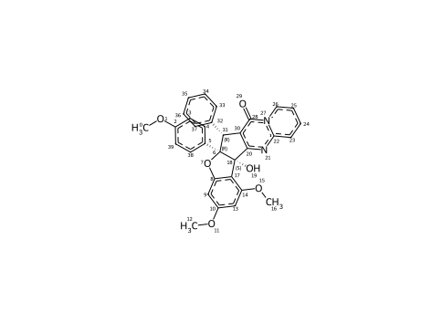 COc1ccc([C@@]23Oc4cc(OC)cc(OC)c4[C@]2(O)c2nc4ccccn4c(=O)c2[C@H]3c2ccccc2)cc1